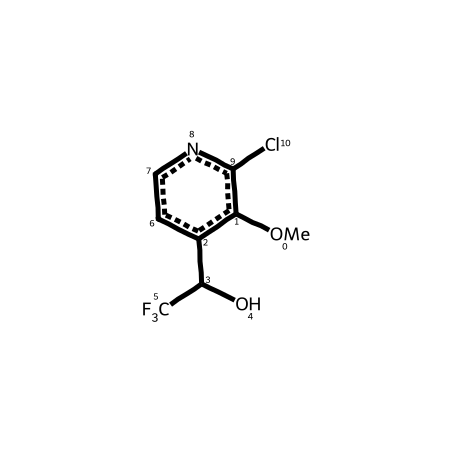 COc1c(C(O)C(F)(F)F)ccnc1Cl